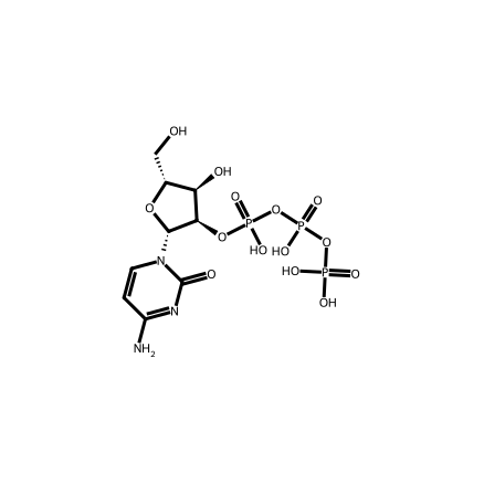 Nc1ccn([C@@H]2O[C@H](CO)[C@@H](O)[C@H]2OP(=O)(O)OP(=O)(O)OP(=O)(O)O)c(=O)n1